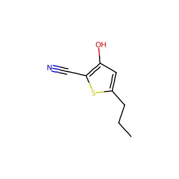 CCCc1cc(O)c(C#N)s1